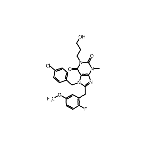 Cn1c(=O)n(CCCO)c(=O)c2c1nc(Cc1cc(OC(F)(F)F)ccc1F)n2Cc1ccc(Cl)cc1